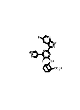 O=C(O)C1C2CCC(CC2)C1Nc1nc(-c2n[nH]c3ncc(F)cc23)nc(-c2cn[nH]c2)c1F